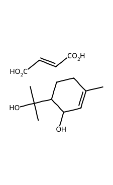 CC1=CC(O)C(C(C)(C)O)CC1.O=C(O)C=CC(=O)O